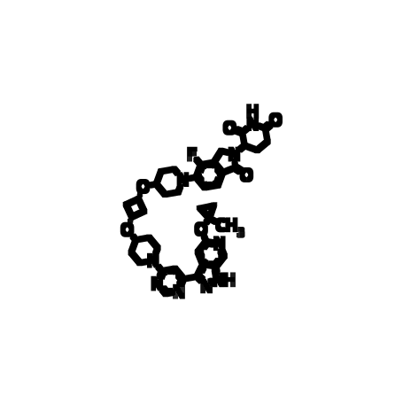 CC1(Oc2cc3c(-c4cc(N5CCC(O[C@H]6C[C@@H](OC7CCN(c8ccc9c(c8F)CN(C8CCC(=O)NC8=O)C9=O)CC7)C6)CC5)ncn4)n[nH]c3cn2)CC1